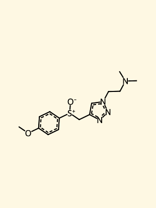 COc1ccc([S+]([O-])Cc2cn(CCN(C)C)nn2)cc1